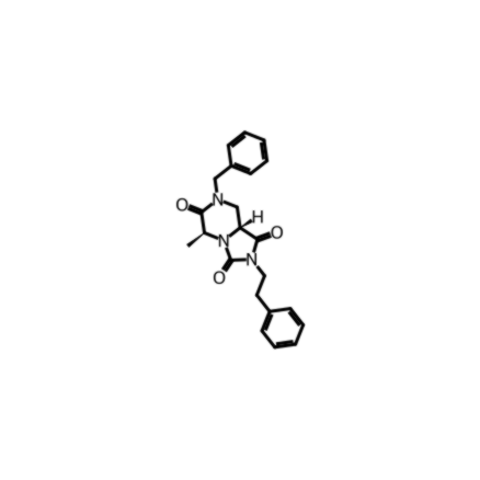 C[C@H]1C(=O)N(Cc2ccccc2)C[C@@H]2C(=O)N(CCc3ccccc3)C(=O)N21